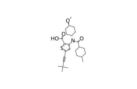 CO[C@H]1CC[C@H](N(C(=O)C2CCC(C)CC2)c2cc(C#CC(C)(C)C)sc2C(=O)O)CC1